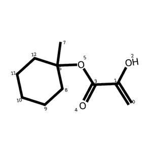 C=C(O)C(=O)OC1(C)CCCCC1